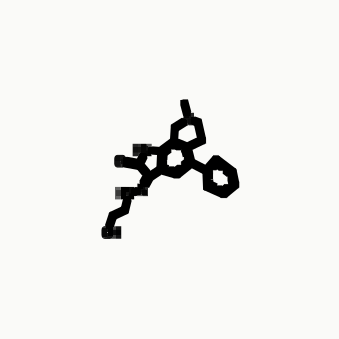 CN1CCc2c(-c3ccccc3)cc3c(c2C1)NC(=O)C3=NNCCO